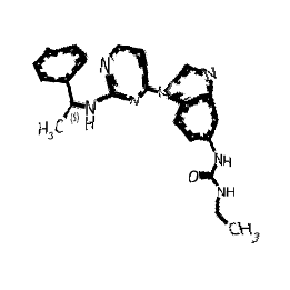 CCNC(=O)Nc1ccc2c(c1)ncn2-c1ccnc(N[C@@H](C)c2ccccc2)n1